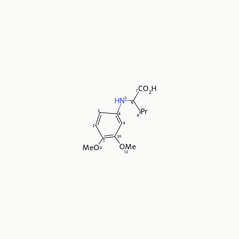 COc1ccc(NC(C(=O)O)C(C)C)cc1OC